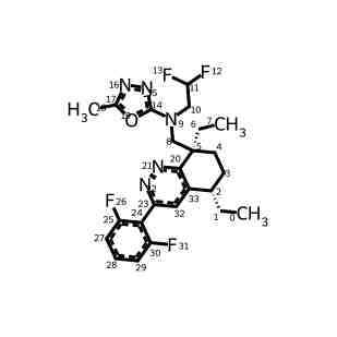 CC[C@H]1CC[C@](CC)(CN(CC(F)F)c2nnc(C)o2)c2nnc(-c3c(F)cccc3F)cc21